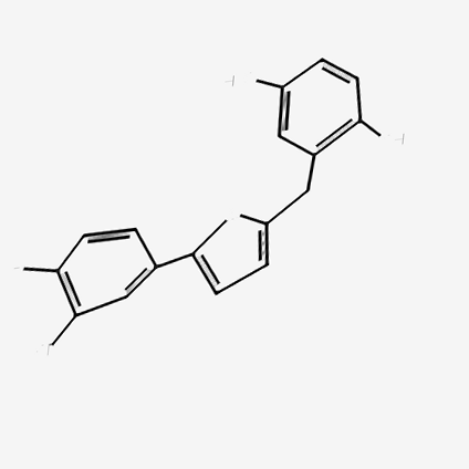 Cc1ccc(C)c(Cc2ccc(-c3ccc(F)c(Cl)c3)s2)c1